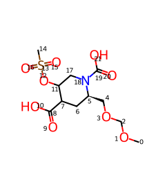 COCOC[C@H]1CC(C(=O)O)C(OS(C)(=O)=O)CN1C(=O)O